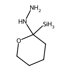 NNC1([SiH3])CCCCO1